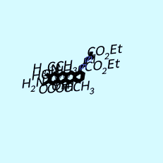 CCOC(=O)/C(I)=C/C(=C/c1ccc(C)c2c1C[C@H]1C[C@H]3[C@H](N(C)C)C(O)=C(C(N)=O)C(=O)[C@@]3(O)C(O)=C1C2=O)C(=O)OCC